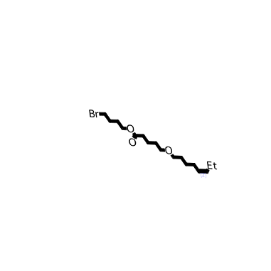 CC/C=C\CCCCOCCCCC(=O)OCCCCBr